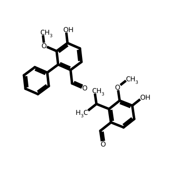 COc1c(O)ccc(C=O)c1-c1ccccc1.COc1c(O)ccc(C=O)c1C(C)C